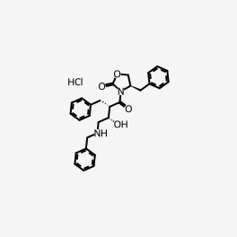 Cl.O=C1OC[C@@H](Cc2ccccc2)N1C(=O)[C@@H](Cc1ccccc1)[C@H](O)CNCc1ccccc1